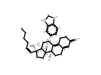 CCCC/C=C\[C@]1(O)CC[C@H]2[C@@H]3CCC4=CC(=O)CCC4=C3[C@@H](c3ccc4c(c3)OCO4)C[C@@]21C